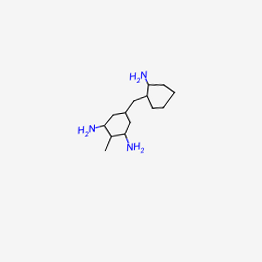 CC1C(N)CC(CC2CCCCC2N)CC1N